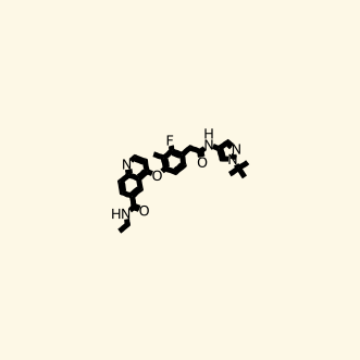 CCNC(=O)c1ccc2nccc(Oc3ccc(CC(=O)Nc4cnn(C(C)(C)C)c4)c(F)c3C)c2c1